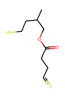 CC(CCS)COC(=O)CCC=S